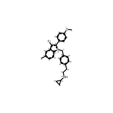 COc1ccc(-c2c(F)c3cc(C)ccc3n2Cc2ccc(CCNC3CC3)cc2)cc1